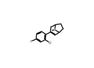 CN1C2C=C(c3ccc(F)cc3Cl)CC1CC2